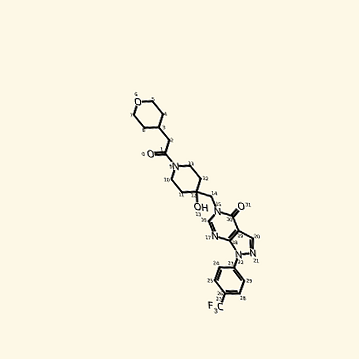 O=C(CC1CCOCC1)N1CCC(O)(Cn2cnc3c(cnn3-c3ccc(C(F)(F)F)cc3)c2=O)CC1